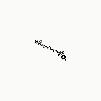 Cc1ccc(S(=O)(=O)OCCOCCOCCOCCC(=O)OC(C)(C)C)cc1